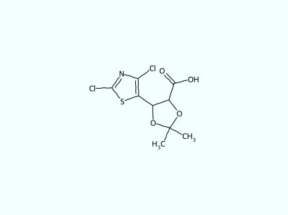 CC1(C)OC(C(=O)O)C(c2sc(Cl)nc2Cl)O1